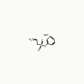 C=CCS(=O)(=O)Oc1ccccc1.[NaH]